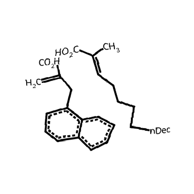 C=C(Cc1cccc2ccccc12)C(=O)O.CCCCCCCCCCCCCCC=C(C)C(=O)O